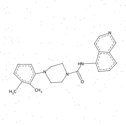 Cc1cccc(N2CCN(C(=O)Nc3cccc4cnccc34)CC2)c1C